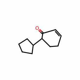 O=C1C=CCCC1C1CCCC1